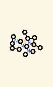 c1ccc(-c2cccc(N3c4cc(-n5c6ccccc6c6ccccc65)ccc4B4c5cc(-c6ccccc6)cc6c5N(c5ccc(-c7ccccc7)cc5-c5ccccc5-6)c5cc(N(c6ccccc6)c6ccccc6)cc3c54)c2)cc1